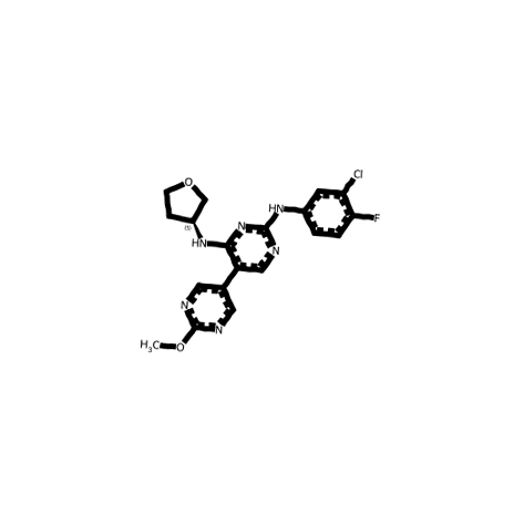 COc1ncc(-c2cnc(Nc3ccc(F)c(Cl)c3)nc2N[C@H]2CCOC2)cn1